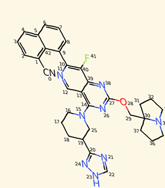 N#Cc1cccc2cccc(-c3ncc4c(N5CCCC(c6nc[nH]n6)C5)nc(OCC56CCCN5CCC6)nc4c3F)c12